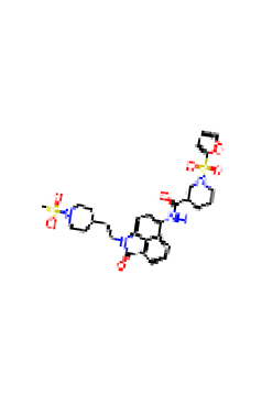 CS(=O)(=O)N1CCC(CCN2C(=O)c3cccc4c(NC(=O)C5CCCN(S(=O)(=O)c6ccco6)C5)ccc2c34)CC1